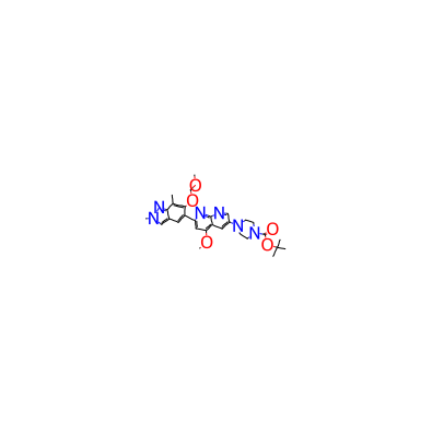 COCOc1c(-c2cc(OC)c3cc(N4CCN(C(=O)OC(C)(C)C)CC4)cnc3n2)cc2cn(C)nc2c1C